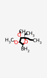 B[C@@H]1O[C@](CC)(CCC)[C@@H](OC)[C@H]1OC